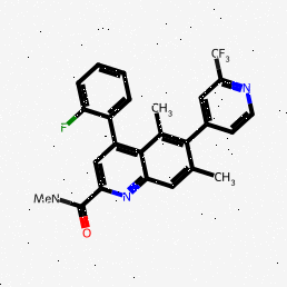 CNC(=O)c1cc(-c2ccccc2F)c2c(C)c(-c3ccnc(C(F)(F)F)c3)c(C)cc2n1